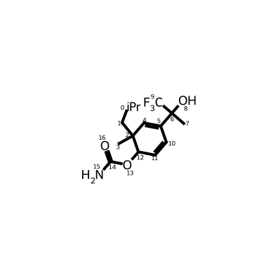 CC(C)CC1(C)C=C(C(C)(O)C(F)(F)F)C=CC1OC(N)=O